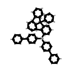 c1ccc(-c2ccc(N(c3ccc(-c4ccccc4)cc3)c3cccc4c3-c3cccc5c3C4(c3ccccc3)c3ccccc3-5)cc2)cc1